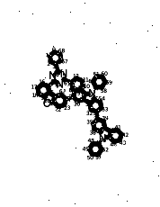 c1ccc(-c2nc(-c3ccccc3)nc(-c3cccc4oc5ccc(-c6ccc7c(c6)c6cc(-c8ccc9c(c8)c8ccccc8n9-c8ccccc8)ccc6n7-c6ccccc6)cc5c34)n2)cc1